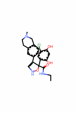 CCNC(=O)C1(c2cc(Cl)c(O)cc2O)ONC=C1c1ccc2c(c1)CCN(C)C2